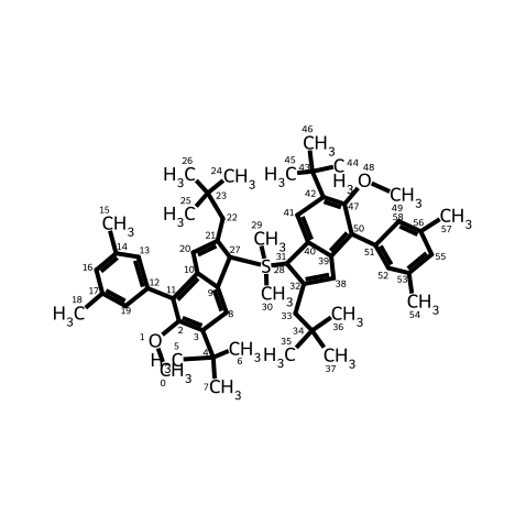 COc1c(C(C)(C)C)cc2c(c1-c1cc(C)cc(C)c1)C=C(CC(C)(C)C)C2S(C)(C)C1C(CC(C)(C)C)=Cc2c1cc(C(C)(C)C)c(OC)c2-c1cc(C)cc(C)c1